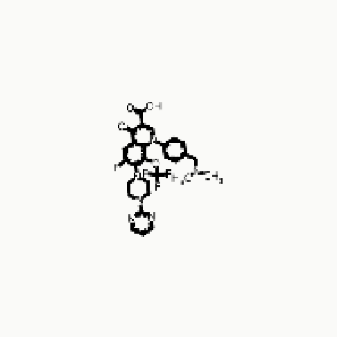 CN(C)Cc1ccc(-n2cc(C(=O)O)c(=O)c3cc(F)c(N4CCN(c5ncccn5)CC4)c(OC(F)(F)F)c32)cc1